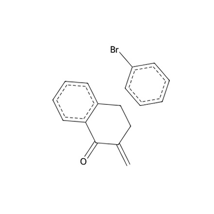 Brc1ccccc1.C=C1CCc2ccccc2C1=O